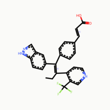 CC/C(=C(/c1ccc(/C=C/C(=O)O)cc1)c1ccc2[nH]ncc2c1)c1ccncc1C(F)(F)F